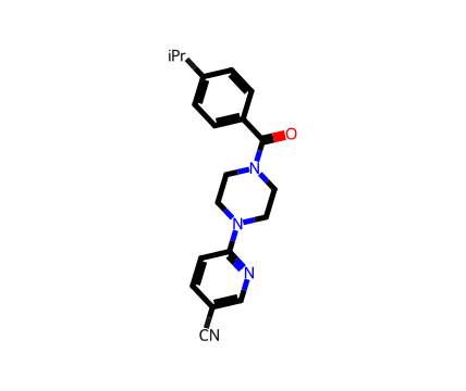 CC(C)c1ccc(C(=O)N2CCN(c3ccc(C#N)cn3)CC2)cc1